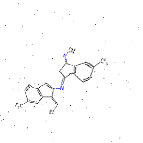 CC/C=C1/C(/N=C2\C/C(=N/C#N)c3cc(C(F)(F)F)ccc32)=Cc2ccc(C(F)(F)F)cc21